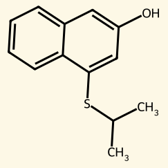 CC(C)Sc1cc(O)cc2ccccc12